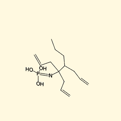 C=CCC(CCC)C(CC=C)(CC=C)N=P(O)(O)O